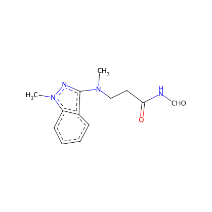 CN(CCC(=O)NC=O)c1nn(C)c2ccccc12